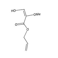 C=CCOC(=O)C(=CO)OC